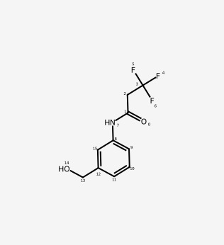 O=C(CC(F)(F)F)Nc1cccc(CO)c1